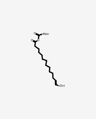 CCCCCCCCC=CCCCCCCCCCCCC(=O)OC(=O)CCCCCCCCC